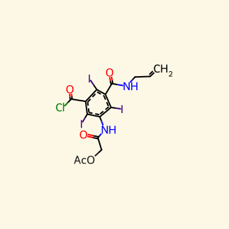 C=CCNC(=O)c1c(I)c(NC(=O)COC(C)=O)c(I)c(C(=O)Cl)c1I